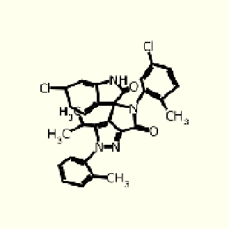 Cc1ccc(Cl)cc1N1C(=O)c2nn(-c3ccccc3C)c(C(C)C)c2C12C(=O)NC1=CC(Cl)CC=C12